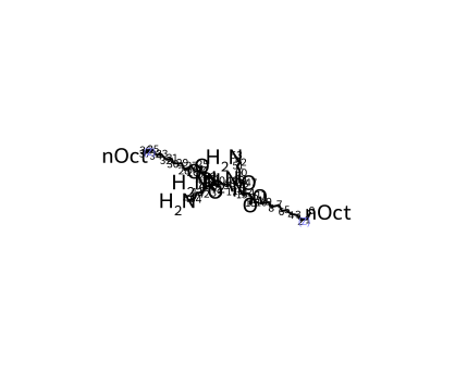 CCCCCCCC/C=C\CCCCCCCCOC(=O)CCN(CCCCN(CCC(=O)OCCCCCCCC/C=C\CCCCCCCC)C(=O)[C@@H](N)CCCN)C(=O)[C@@H](N)CCCN